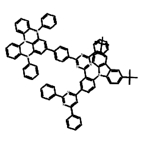 CC(C)(C)c1ccc2c(c1)c1cc(C(C)(C)C)ccc1n2-c1ccc(-c2cc(-c3ccccc3)nc(-c3ccccc3)n2)cc1-c1nc(-c2ccccc2)nc(-c2ccc(-c3cc4c5c(c3)N(c3ccccc3)c3ccccc3B5c3ccccc3N4c3ccccc3)cc2)n1